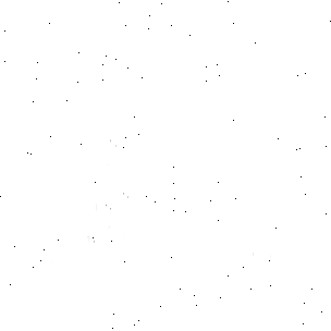 O=C(O)c1ccc(CCSc2ccc3c(c2)C(=NNC(=O)N2CCOCC2)C(=O)N3CCc2ccccc2)cc1